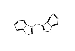 c1ccc2c(Sc3csc4ccccc34)csc2c1